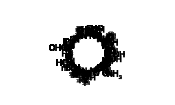 CCCC[C@H]1C(=O)N2C[C@H](O)C[C@@H]2C(=O)N[C@@H](COC=O)C(=O)N[C@@H](C(C)C)C(=O)N(C)[C@@H](Cc2ccccc2)C(=O)N[C@@H](COC=O)C(=O)N2C[C@H](O)C[C@@H]2C(=O)N[C@@H](Cc2c[nH]c3ccccc23)C(=O)N[C@@H](Cc2ccc(O)cc2)C(=O)N[C@@H](CCO)C(=O)N[C@H](C(=O)NCC(N)=O)CSCC(=O)N[C@@H](Cc2cc(F)c(F)c(F)c2)C(=O)N(C)[C@@H](Cc2ccccc2)C(=O)N1C